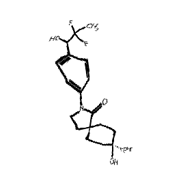 CCC[C@]1(O)CC[C@]2(CCN(c3ccc(C(O)C(C)(F)F)cc3)C2=O)CC1